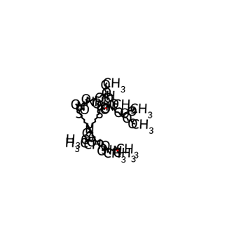 COCCOCC(COCCCNC(=O)CCN1C(=O)CC(SCCCCCCN(CCCCCCSC2CC(=O)N(CCC(=O)NCCCOCC(COCCOC)OCCOC)C2=O)C(=O)CCCC(OC(=O)C(C)(C)C)c2ccc(OC(=O)N(C)CCCN(C)C)cc2)C1=O)OCCOC